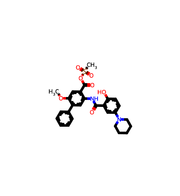 COc1cc(C(=O)OS(C)(=O)=O)c(NC(=O)c2cc(N3CCCCC3)ccc2O)cc1-c1ccccc1